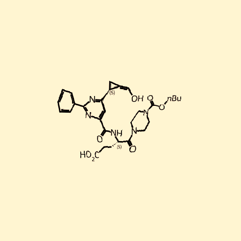 CCCCOC(=O)N1CCN(C(=O)[C@H](CCC(=O)O)NC(=O)c2cc([C@H]3CC3=CO)nc(-c3ccccc3)n2)CC1